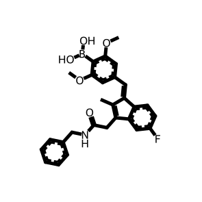 COc1cc(C=C2C(C)=C(CC(=O)NCc3ccccc3)c3cc(F)ccc32)cc(OC)c1B(O)O